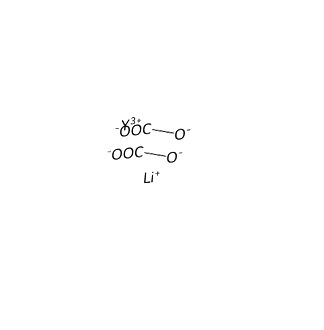 O=C([O-])[O-].O=C([O-])[O-].[Li+].[Y+3]